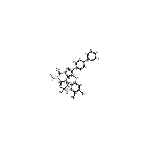 CCN1C(=O)c2nc(-c3ccc(-c4ccccc4)cc3)n(Cc3cc(F)c(F)cc3F)c2N2CC(C)(C)N=C12